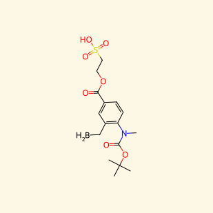 BCc1cc(C(=O)OCCS(=O)(=O)O)ccc1N(C)C(=O)OC(C)(C)C